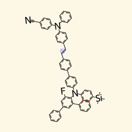 C[Si](C)(C)c1ccc(N(c2ccc(-c3ccc(/C=C/c4ccc(N(c5ccccc5)c5ccc(C#N)cc5)cc4)cc3)cc2)c2c(F)cc(-c3ccccc3)cc2-c2ccccc2)cc1